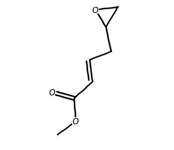 COC(=O)C=CCC1CO1